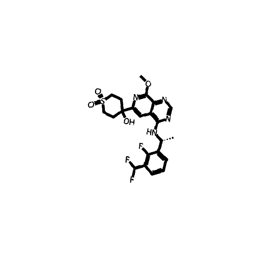 COc1nc(C2(O)CCS(=O)(=O)CC2)cc2c(N[C@H](C)c3cccc(C(F)F)c3F)ncnc12